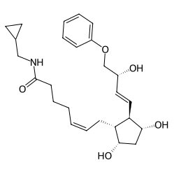 O=C(CCC/C=C\C[C@@H]1[C@@H](/C=C/[C@@H](O)COc2ccccc2)[C@H](O)C[C@@H]1O)NCC1CC1